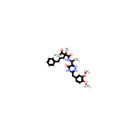 COc1ccc(Cc2nnc(C(C)NC(=O)C(C)(CCCc3ccccc3)C(C)=O)c(=O)[nH]2)cc1OC